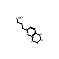 O=CCCCc1ccc2c(n1)CCCC2